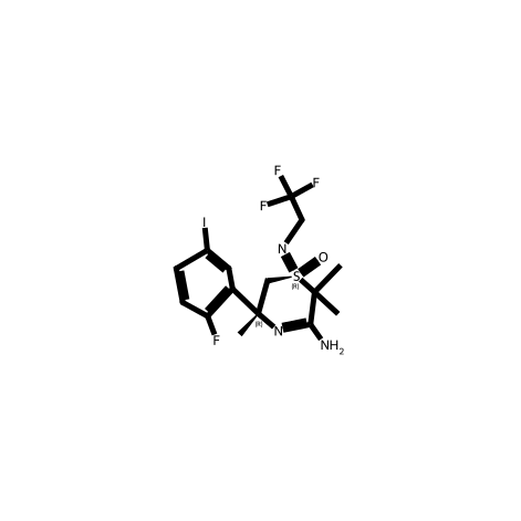 CC1(C)C(N)=N[C@](C)(c2cc(I)ccc2F)C[S@]1(=O)=NCC(F)(F)F